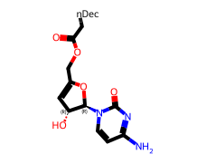 CCCCCCCCCCCC(=O)OCC1=C[C@@H](O)[C@H](n2ccc(N)nc2=O)O1